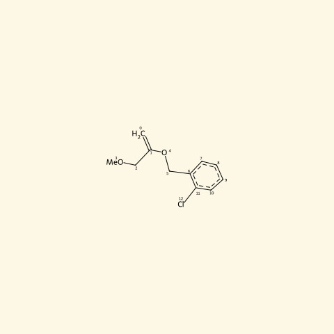 C=C(COC)OCc1ccccc1Cl